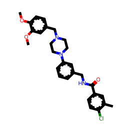 COc1ccc(CN2CCN(c3cccc(CNC(=O)c4ccc(Cl)c(C)c4)c3)CC2)cc1OC